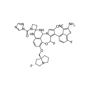 N#Cc1c(N)sc2c(F)ccc(-c3c(Cl)cn4c3C(F)Oc3c(OC[C@@]56CCCN5C[C@H](F)C6)ccc5c3C4NC3(CCN3C(=O)n3cncn3)N5)c12